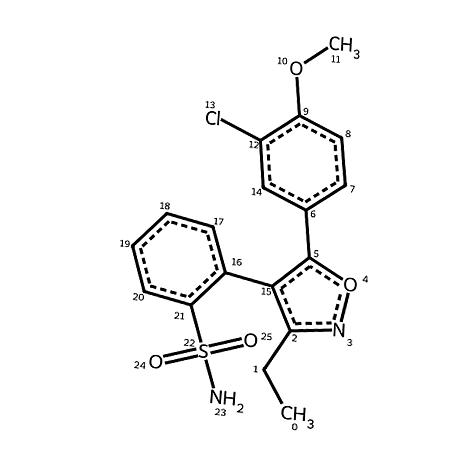 CCc1noc(-c2ccc(OC)c(Cl)c2)c1-c1ccccc1S(N)(=O)=O